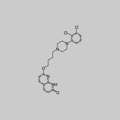 O=c1ccc2ccc(OCCCCN3CCN(c4cccc(Cl)c4Cl)CC3)nc2[nH]1